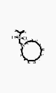 C=C(C)[Si](CC)(CC)CN1CCCCCCCCCCCC1